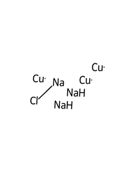 [Cu].[Cu].[Cu].[NaH].[NaH].[Na][Cl]